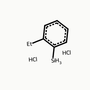 CCc1ccccc1[SiH3].Cl.Cl